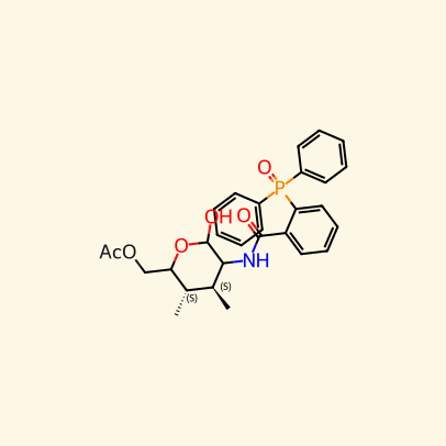 CC(=O)OCC1OC(O)C(NC(=O)c2ccccc2P(=O)(c2ccccc2)c2ccccc2)[C@@H](C)[C@@H]1C